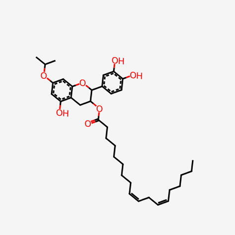 CCCCC/C=C\C/C=C\CCCCCCCC(=O)OC1Cc2c(O)cc(OC(C)C)cc2OC1c1ccc(O)c(O)c1